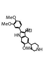 CCc1c(-c2ccc(OC)c(OC)c2)[nH]c2cc(OC)c(C3CCNCC3)cc12.Cl